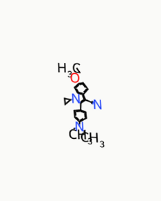 CCOc1ccc2c(C#N)c(-c3ccc(N(CC)CC)cc3)n(C3CC3)c2c1